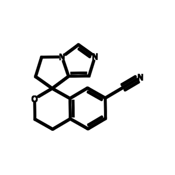 N#Cc1ccc2c(c1)C1(CCn3cncc31)OCC2